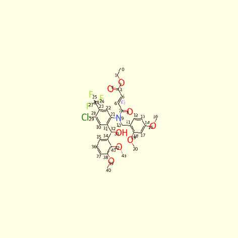 CCOC(=O)/C=C/C(=O)N(Cc1ccc(OC)cc1OC)c1cc(C(F)(F)F)c(Cl)cc1C(O)c1cccc(OC)c1OC